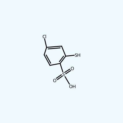 O=S(=O)(O)c1ccc(Cl)cc1S